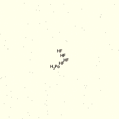 F.F.F.F.[PoH2]